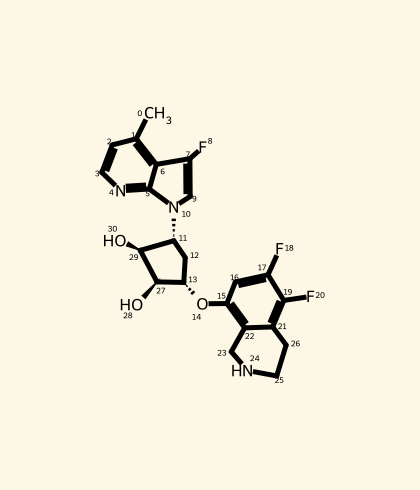 Cc1ccnc2c1c(F)cn2[C@@H]1C[C@H](Oc2cc(F)c(F)c3c2CNCC3)[C@@H](O)[C@H]1O